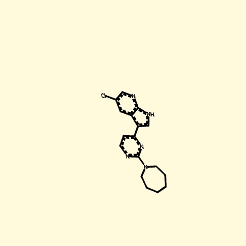 Clc1cnc2[nH]cc(-c3ccnc(N4CCCCCC4)n3)c2c1